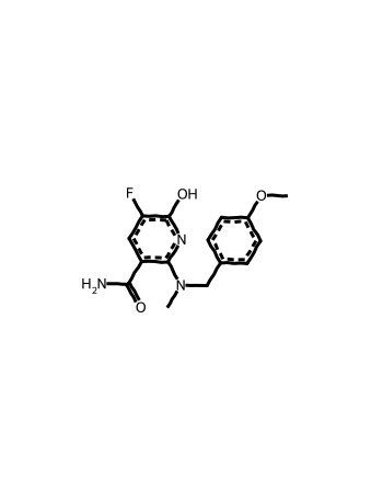 COc1ccc(CN(C)c2nc(O)c(F)cc2C(N)=O)cc1